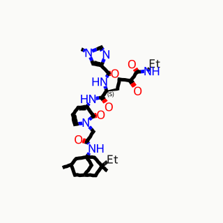 CCNC(=O)C(=O)CC[C@H](NC(=O)c1cn(C)cn1)C(=O)Nc1cccn(CC(=O)NC23CC(C)CC(CC(C)(CC)C2)C3)c1=O